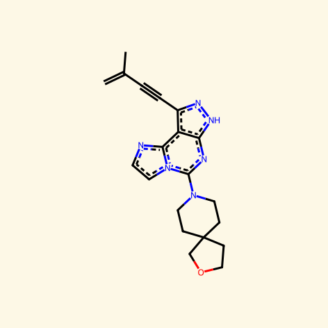 C=C(C)C#Cc1n[nH]c2nc(N3CCC4(CCOC4)CC3)n3ccnc3c12